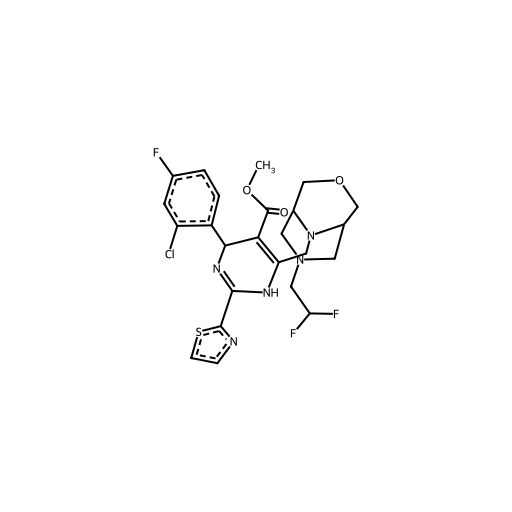 COC(=O)C1=C(CN2C3COCC2CN(CC(F)F)C3)NC(c2nccs2)=NC1c1ccc(F)cc1Cl